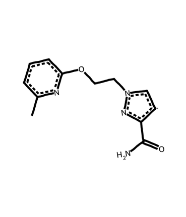 Cc1cccc(OCCn2c[c]c(C(N)=O)n2)n1